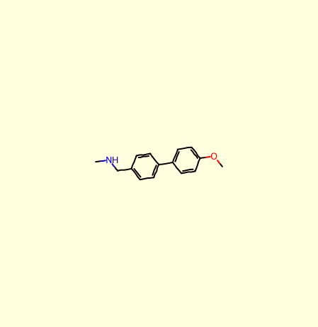 CNCc1ccc(-c2ccc(OC)cc2)cc1